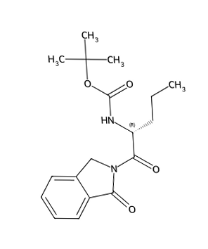 CCC[C@@H](NC(=O)OC(C)(C)C)C(=O)N1Cc2ccccc2C1=O